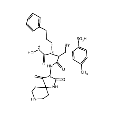 CC(C)CC(C(=O)NN1C(=O)NC2(CCNCC2)C1=O)[C@@H](CCCc1ccccc1)C(=O)NO.Cc1ccc(S(=O)(=O)O)cc1